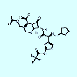 CC(=O)OCC1=C(C(=O)O)N2C(=O)[C@@H](NC(=O)C(=NOC3CCCC3)c3csc(NC(=O)C(F)(F)F)n3)[C@H]2SC1